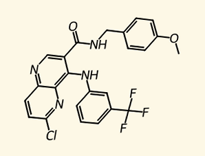 COc1ccc(CNC(=O)c2cnc3ccc(Cl)nc3c2Nc2cccc(C(F)(F)F)c2)cc1